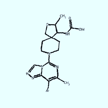 Cc1nc(N2CCC3(CC2)COC(C)C3NC(=O)O)n2cnnc2c1Br